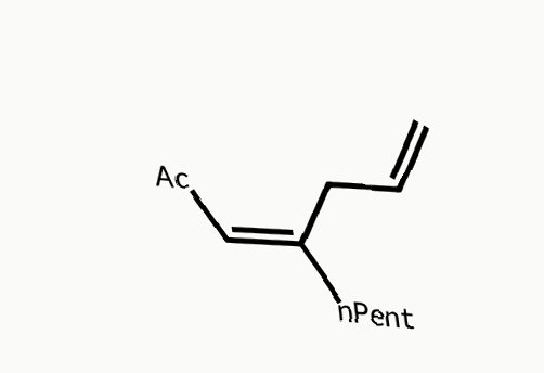 C=CC/C(=C\C(C)=O)CCCCC